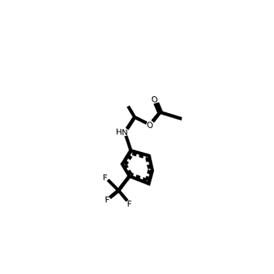 CC(=O)OC(C)Nc1cccc(C(F)(F)F)c1